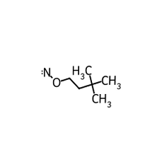 CC(C)(C)CCO[N]